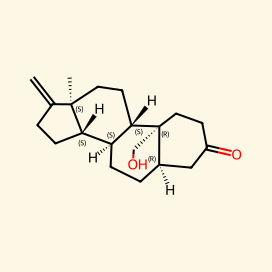 C=C1CC[C@H]2[C@@H]3CC[C@@H]4CC(=O)CC[C@]4(CO)[C@H]3CC[C@]12C